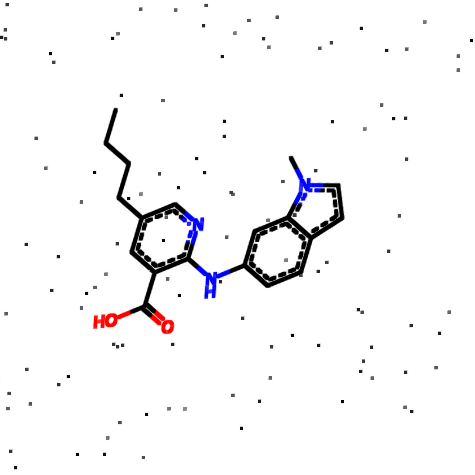 CCCCc1cnc(Nc2ccc3ccn(C)c3c2)c(C(=O)O)c1